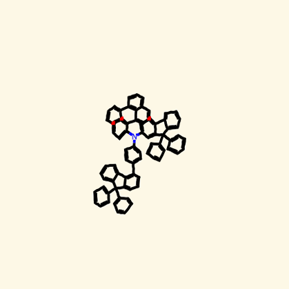 c1ccc(-c2cccc3cccc(-c4ccccc4N(c4ccc(-c5cccc6c5-c5ccccc5C6(c5ccccc5)c5ccccc5)cc4)c4ccc5c(c4)C(c4ccccc4)(c4ccccc4)c4ccccc4-5)c23)cc1